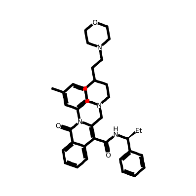 CC[C@H](NC(=O)c1c(CN2CCC(CCN3CCOCC3)CC2)n(-c2cccc(C)c2)c(=O)c2ccccc12)c1ccccc1